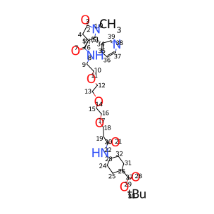 CN1C(=O)C[C@H](C(=O)NCCOCCOCCOCCC(=O)NC2CCC(C(=O)OC(C)(C)C)CC2)[C@H]1c1cccnc1